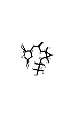 C=C(CC1CC(=O)OC1=O)CC1(C)CC1(C)CC(C)(C)C(C)(C)C